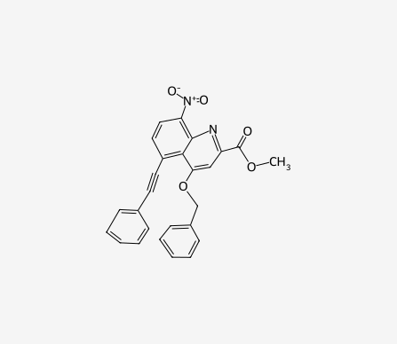 COC(=O)c1cc(OCc2ccccc2)c2c(C#Cc3ccccc3)ccc([N+](=O)[O-])c2n1